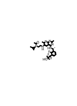 CC(=O)N(CCNc1cc2c(N[C@H](C)c3cccc(C(F)(F)C(C)(C)O)c3F)nc(C)nc2nc1C)C1CC1C